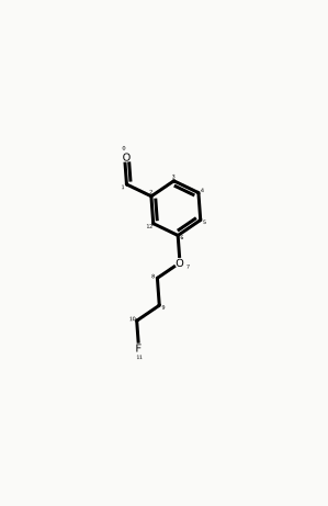 O=Cc1cccc(OCCCF)c1